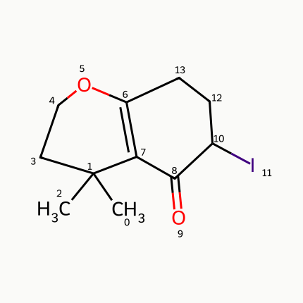 CC1(C)CCOC2=C1C(=O)C(I)CC2